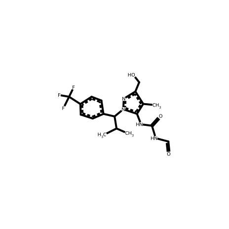 Cc1c(CO)nn(C(c2ccc(C(F)(F)F)cc2)C(C)C)c1NC(=O)NC=O